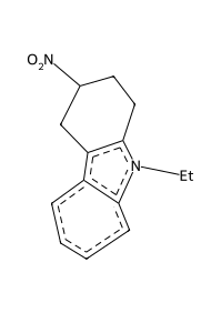 CCn1c2c(c3ccccc31)CC([N+](=O)[O-])CC2